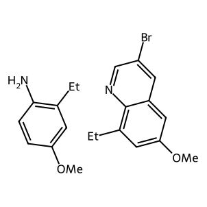 CCc1cc(OC)cc2cc(Br)cnc12.CCc1cc(OC)ccc1N